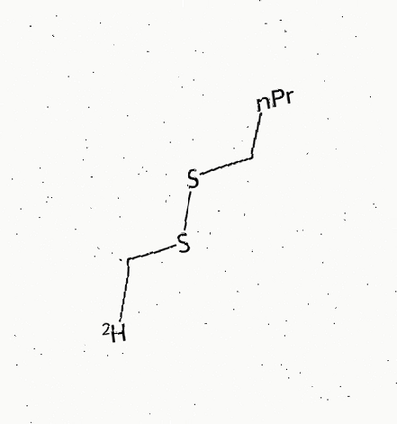 [2H][CH]SSCCCC